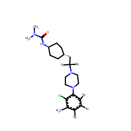 [2H]c1c([2H])c(C)c(Cl)c(N2CCN(C([2H])([2H])C[C@H]3CC[C@H](NC(=O)N(C)C)CC3)CC2)c1[2H]